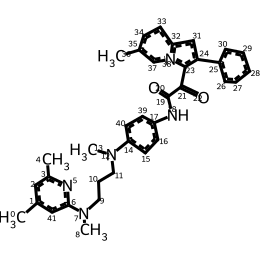 Cc1cc(C)nc(N(C)CCCN(C)c2ccc(NC(=O)C(=O)c3c(-c4ccccc4)cc4ccc(C)cn34)cc2)c1